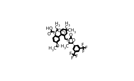 COc1ccc(N(C(=O)O)C(C)C)c(C2=C(CN3C(=O)O[C@H](c4cc(C(F)(F)F)cc(C(F)(F)F)c4)[C@@H]3C)CC(C)(C)CC2)c1